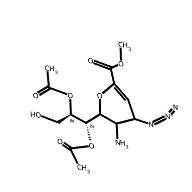 COC(=O)C1=CC(N=[N+]=[N-])C(N)C([C@H](OC(C)=O)[C@@H](CO)OC(C)=O)O1